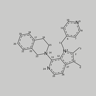 Cc1c(C)n(Cc2ccncc2)c2c(N3CCc4ccccc4C3)nccc12